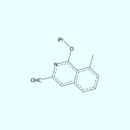 Cc1cccc2cc(C=O)nc(OC(C)C)c12